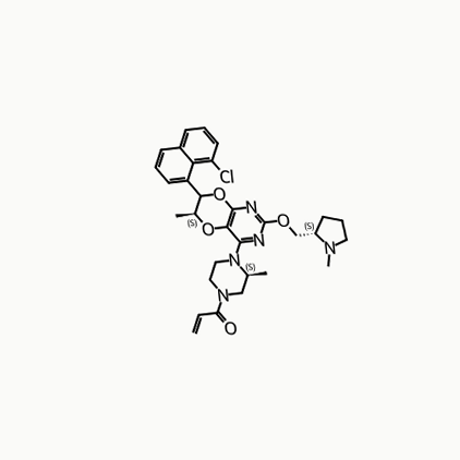 C=CC(=O)N1CCN(c2nc(OC[C@@H]3CCCN3C)nc3c2O[C@@H](C)C(c2cccc4cccc(Cl)c24)O3)[C@@H](C)C1